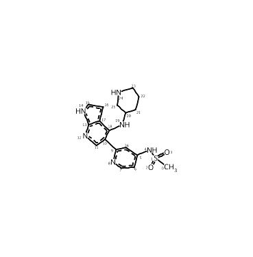 CS(=O)(=O)Nc1ccnc(-c2cnc3[nH]ccc3c2NC2CCCNC2)c1